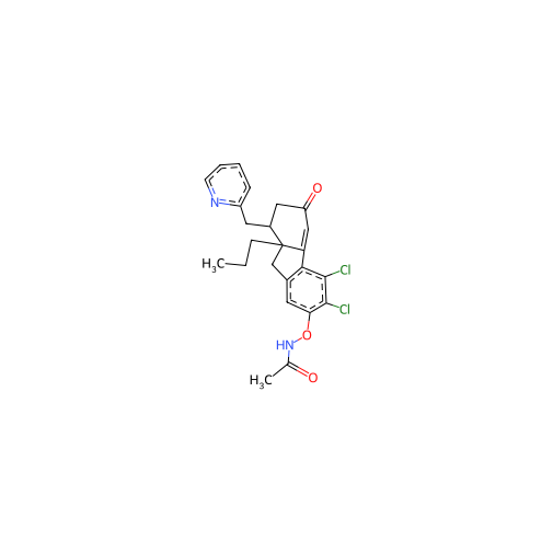 CCCC12Cc3cc(ONC(C)=O)c(Cl)c(Cl)c3C1=CC(=O)CC2Cc1ccccn1